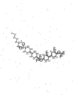 CCCCCC1COC(C2CCC(C3CCC(C(F)(F)Oc4ccc(-c5ccc(OC(F)F)c(F)c5)c(F)c4)CC3)CC2)OC1